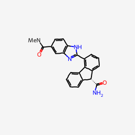 CNC(=O)c1ccc2[nH]c(-c3cccc4c3-c3ccccc3[C@H]4C(N)=O)nc2c1